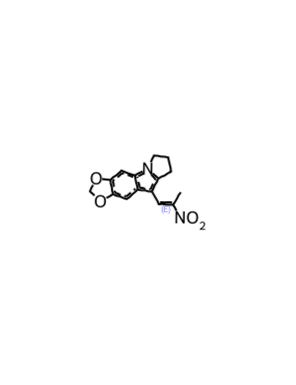 C/C(=C\c1c2n(c3cc4c(cc13)OCO4)CCC2)[N+](=O)[O-]